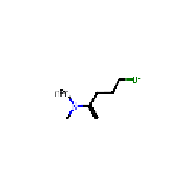 C=C(CCCBr)N(C)CCC